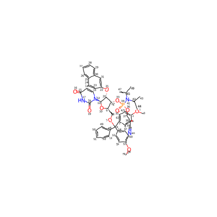 COc1ccc(C(OC[C@H]2O[C@@H](n3ccc(=O)[nH]c3=O)[C@H](Oc3ccc4ccccc4c3)[C@@H]2OP(=O)(OCCC#N)N(C(C)C)C(C)C)(c2ccccc2)c2ccc(OC)cc2)cc1